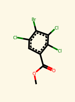 COC(=O)c1cc(Cl)c(Br)c(Cl)c1Cl